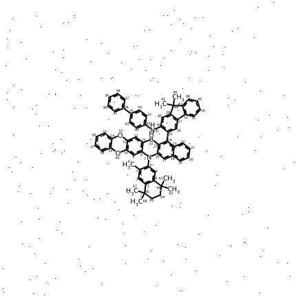 Cc1cc2c(cc1N1c3cc4c(cc3Bc3c1cc1ccccc1c3-c1cc3c(cc1Nc1ccc(-c5ccccc5)cc1)C(C)(C)c1ccccc1-3)Oc1ccccc1O4)C(C)(C)CCC2(C)C